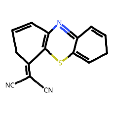 N#CC(C#N)=C1CC=CC2=C1SC1=CCC=CC1=N2